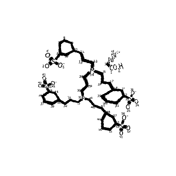 CC(=O)O.O=S(=O)([O-])C1CCCC(CCCP(CCCC2CCCC(S(=O)(=O)[O-])C2)CCCP(CCCC2CCCC(S(=O)(=O)[O-])C2)CCCC2CCCC(S(=O)(=O)[O-])C2)C1.[Pd+2].[Pd+2]